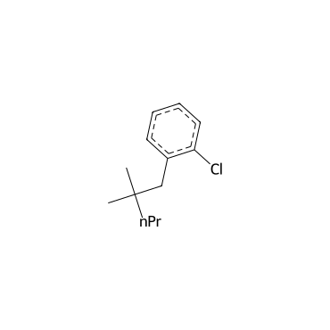 CCCC(C)(C)Cc1ccccc1Cl